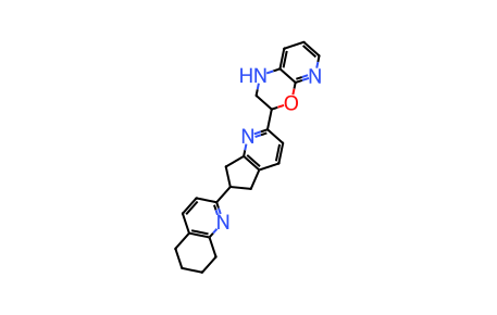 c1cnc2c(c1)NCC(c1ccc3c(n1)CC(c1ccc4c(n1)CCCC4)C3)O2